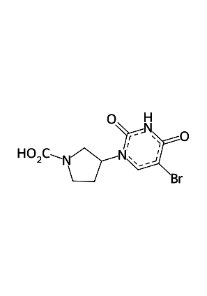 O=C(O)N1CCC(n2cc(Br)c(=O)[nH]c2=O)C1